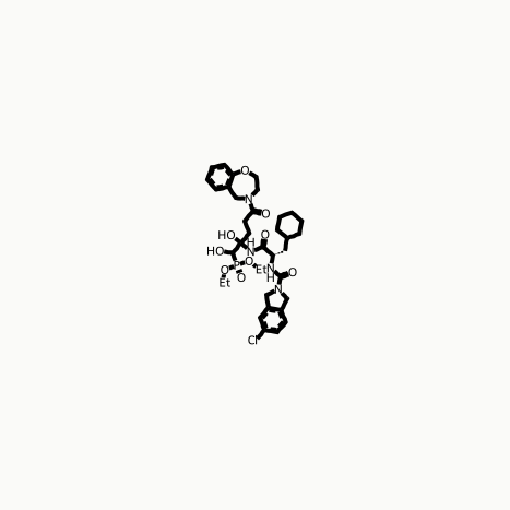 CCOP(=O)(OCC)C(O)C(O)(CCC(=O)N1CCOc2ccccc2C1)NC(=O)[C@H](CC1CCCCC1)NC(=O)N1Cc2ccc(Cl)cc2C1